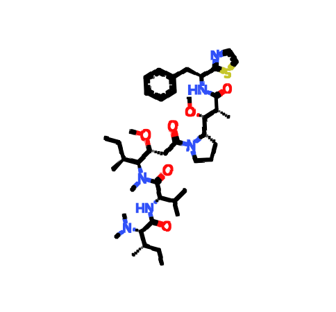 CC[C@H](C)[C@@H]([C@@H](CC(=O)N1CCC[C@H]1[C@H](OC)[C@@H](C)C(=O)N[C@@H](Cc1ccccc1)c1nccs1)OC)N(C)C(=O)[C@@H](NC(=O)[C@H]([C@@H](C)CC)N(C)C)C(C)C